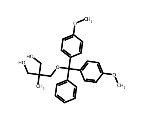 COc1ccc(C(OCC(C)(CO)CO)(c2ccccc2)c2ccc(OC)cc2)cc1